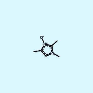 Cc1cn(C)c(C)[n+]1[O-]